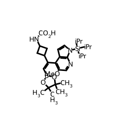 COc1cnc2c(ccn2[Si](C(C)C)(C(C)C)C(C)C)c1/C(=C\B1OC(C)(C)C(C)(C)O1)C1CC(NC(=O)O)C1